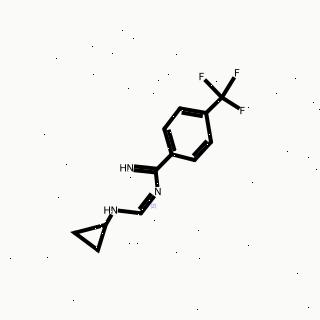 N=C(/N=C\NC1CC1)c1ccc(C(F)(F)F)cc1